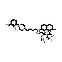 CC(C)CC(C)(C)N(C)C(=O)N1C(=O)CCc2ccc(OCCCCN3CCN(c4cccc(Cl)c4Cl)CC3)cc21